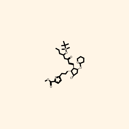 CCCC(CC(=O)C=C[C@@H]1[C@@H](CCCc2ccc(C(=O)OC)s2)[C@H](Cl)C[C@H]1OC1CCCCO1)O[Si](C)(C)C(C)(C)C